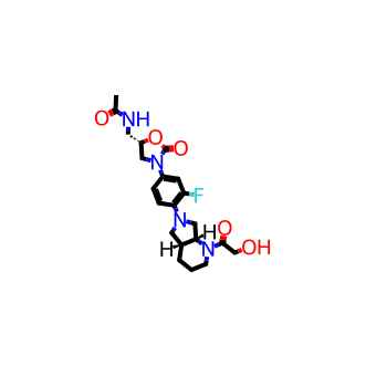 CC(=O)NC[C@H]1CN(c2ccc(N3C[C@H]4CCCN(C(=O)CO)[C@H]4C3)c(F)c2)C(=O)O1